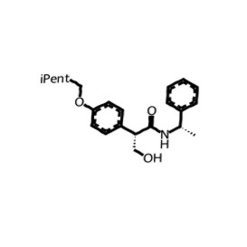 CCCC(C)COc1ccc([C@@H](CO)C(=O)N[C@@H](C)c2ccccc2)cc1